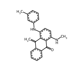 C=C1c2ccccc2C(=O)c2c(NC)ccc(Nc3cccc(C)c3)c21